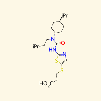 CC(C)CCN(C(=O)Nc1ncc(SCCC(=O)O)s1)[C@H]1CC[C@H](C(C)C)CC1